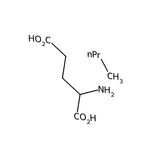 CCCC.NC(CCC(=O)O)C(=O)O